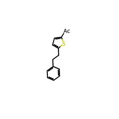 CC(=O)c1ccc(CCc2ccccc2)s1